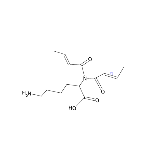 CC=CC(=O)N(C(=O)/C=C/C)C(CCCCN)C(=O)O